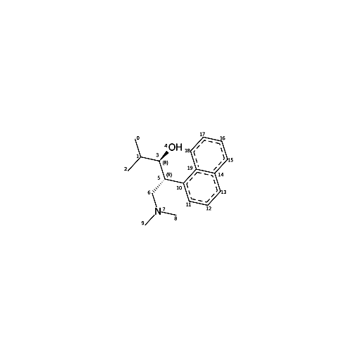 CC(C)[C@@H](O)[C@@H](CN(C)C)c1cccc2ccccc12